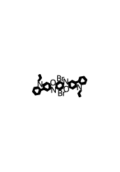 C=CCn1c2ccccc2c2cc3c(cc21)Oc1c(Br)c2c(c(Br)c1=N3)Oc1cc3c(cc1N=2)c1ccccc1n3CC=C